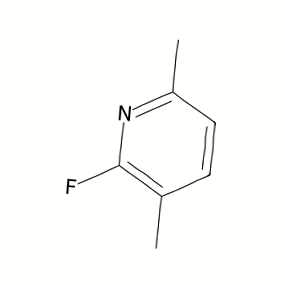 Cc1ccc(C)c(F)n1